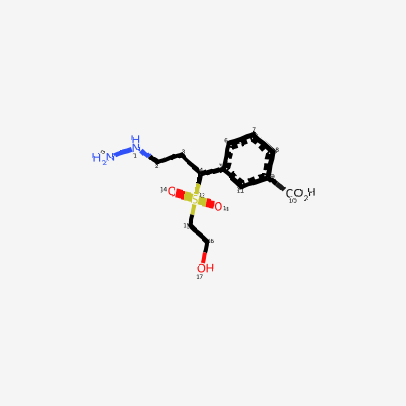 NNCCC(c1cccc(C(=O)O)c1)S(=O)(=O)CCO